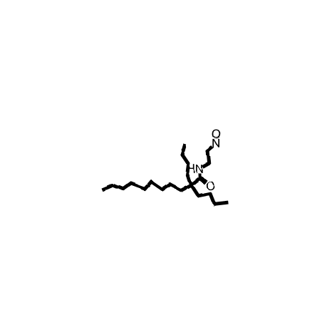 CCCCCCCCCC(CCCC)(CCCC)C(=O)NCCN=O